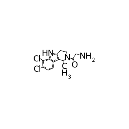 C[C@@H]1c2c([nH]c3c(Cl)c(Cl)ccc23)CCN1C(=O)CN